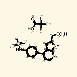 CS(=O)(=O)Nc1ccc(-c2ccnc3[nH]c(CC(=O)O)cc23)cc1.O=C(O)C(F)(F)F